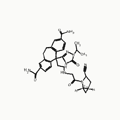 CC(C)n1nc(C2(CCNCC(=O)N3C(C#N)C[C@@H]4C[C@@H]43)c3ccc(C(N)=O)cc3CCc3cc(C(N)=O)ccc32)[nH]c1=O